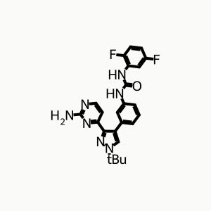 CC(C)(C)n1cc(-c2cccc(NC(=O)Nc3cc(F)ccc3F)c2)c(-c2ccnc(N)n2)n1